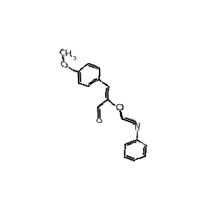 COc1ccc(/C=C(\C=O)O/C=N/c2ccccc2)cc1